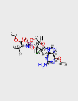 CCOC(=O)[C@@H](N[P@]1(=O)OC[C@H]2O[C@@H](n3cnc4c(OCC)nc(N)nc43)[C@](C)(F)[C@@H]2O1)C(C)C